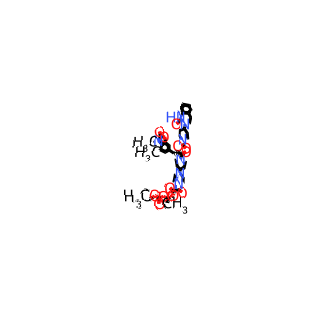 CCOC(=O)OC(C)OC(=O)C(=O)N1CCN(C2CCN(C(=O)[C@@H](Cc3cc(C)c4c(c3)oc(=O)n4C)OC(=O)N3CCC(N4CCc5ccccc5NC4=O)CC3)CC2)CC1